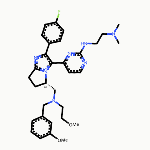 COCCN(Cc1cccc(OC)c1)C[C@@H]1CCc2nc(-c3ccc(F)cc3)c(-c3ccnc(NCCN(C)C)n3)n21